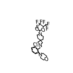 O=C(OC(C(F)(F)F)C(F)(F)F)N1CCC2(CC1)CN(Cc1c(Cl)cccc1N1CCOCC1)C2